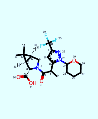 CC(C(=O)N1C[C@H]2[C@@H]([C@H]1C(=O)O)C2(C)C)c1cc(C(F)(F)F)nn1C1CCCCO1